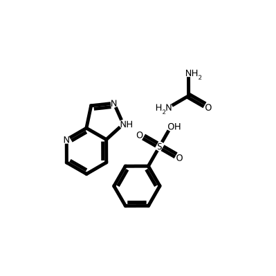 NC(N)=O.O=S(=O)(O)c1ccccc1.c1cnc2cn[nH]c2c1